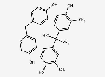 Cc1cc(C(C)(C)c2ccc(O)c(C)c2)ccc1O.Oc1ccc(Cc2ccc(O)cc2)cc1